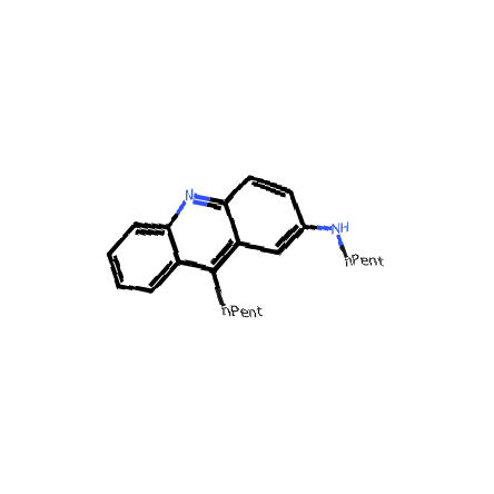 CCCCCNc1ccc2nc3ccccc3c(CCCCC)c2c1